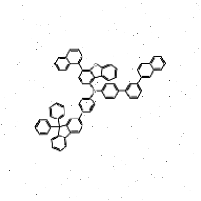 c1ccc(C2(c3ccccc3)c3ccccc3-c3ccc(-c4ccc(N(c5ccc(-c6cccc(-c7ccc8ccccc8c7)c6)cc5)c5ccc(-c6cccc7ccccc67)c6oc7ccccc7c56)cc4)cc32)cc1